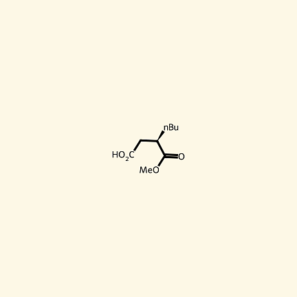 CCCC[C@H](CC(=O)O)C(=O)OC